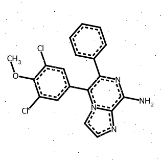 COc1c(Cl)cc(-c2c(-c3ccccc3)nc(N)c3nccn23)cc1Cl